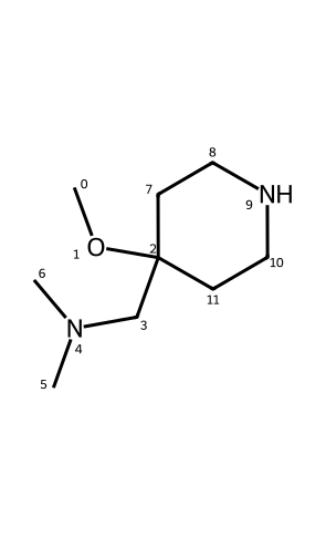 COC1(CN(C)C)CCNCC1